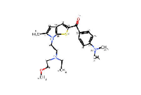 CCN(CCOC)CCn1c(C)cc2cc(C(=O)c3ccc(N(C)C)cc3)sc21